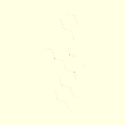 COC(=O)[C@H](Cc1ccc(OC(C)=O)c(OC(C)=O)c1)N(C(=O)CN)C(=O)OCc1ccccc1